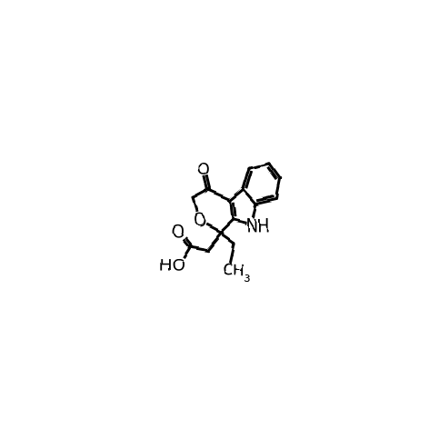 CCC1(CC(=O)O)OCC(=O)c2c1[nH]c1ccccc21